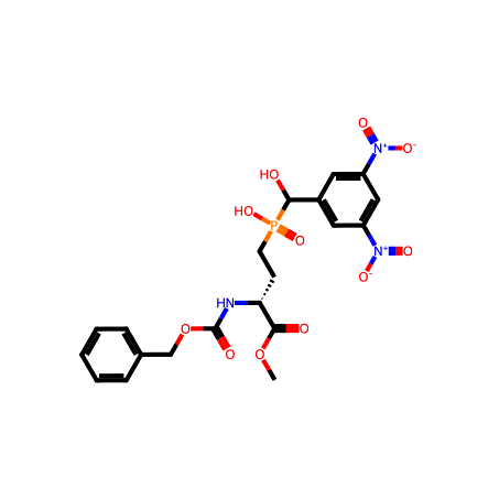 COC(=O)[C@@H](CCP(=O)(O)C(O)c1cc([N+](=O)[O-])cc([N+](=O)[O-])c1)NC(=O)OCc1ccccc1